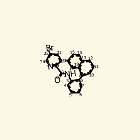 O=C(Nc1ccccc1-c1cccc2ccccc12)c1ccc(Br)cn1